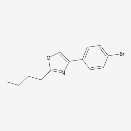 CCCCc1nc(-c2ccc(Br)cc2)co1